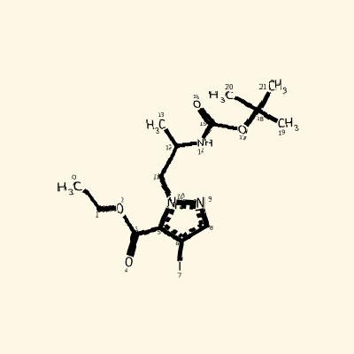 CCOC(=O)c1c(I)cnn1CC(C)NC(=O)OC(C)(C)C